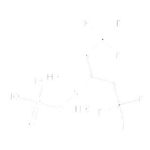 C[Si](C)(OP(=O)(O)O)C(CC(F)(F)F)CC(F)(F)F